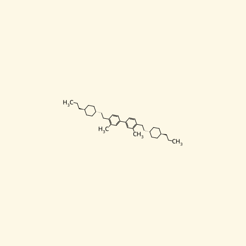 CCC[C@H]1CC[C@H](CCc2ccc(-c3ccc(CC[C@H]4CC[C@H](CCC)CC4)c(C)c3)cc2C)CC1